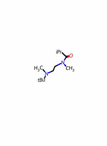 CC(C)C(=O)N(C)CCN(C)C(C)(C)C